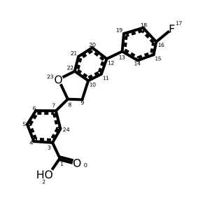 O=C(O)c1cccc(C2Cc3cc(-c4ccc(F)cc4)ccc3O2)c1